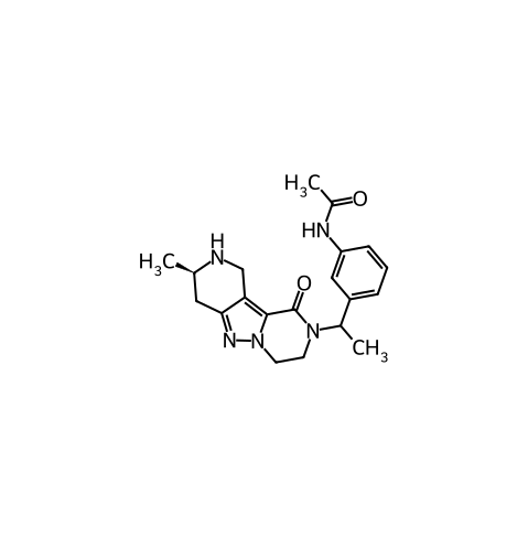 CC(=O)Nc1cccc(C(C)N2CCn3nc4c(c3C2=O)CN[C@H](C)C4)c1